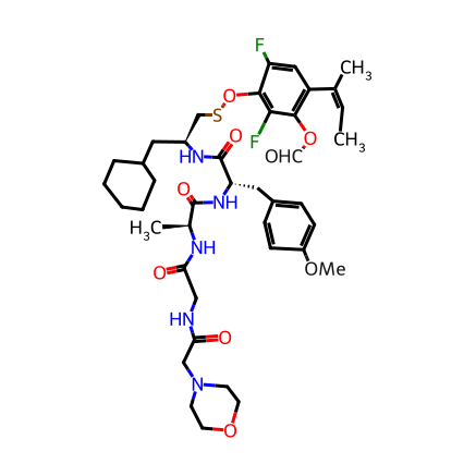 C/C=C(/C)c1cc(F)c(OSC[C@H](CC2CCCCC2)NC(=O)[C@H](Cc2ccc(OC)cc2)NC(=O)[C@H](C)NC(=O)CNC(=O)CN2CCOCC2)c(F)c1OC=O